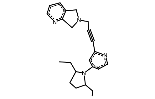 CCC1CCC(CC)N1c1ccnc(C#CCN2Cc3cccnc3C2)c1